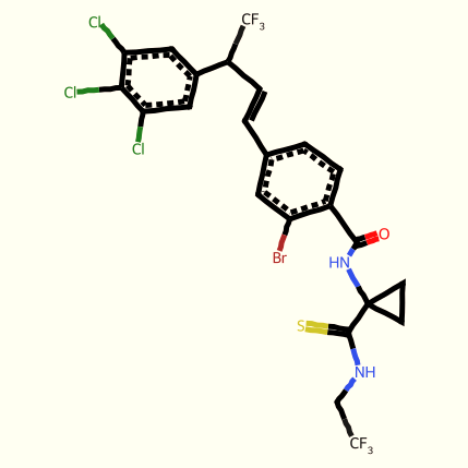 O=C(NC1(C(=S)NCC(F)(F)F)CC1)c1ccc(/C=C/C(c2cc(Cl)c(Cl)c(Cl)c2)C(F)(F)F)cc1Br